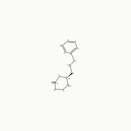 c1ccc(COC[C@@H]2CNCCO2)cc1